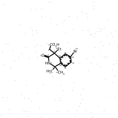 CCC1(CC(=O)O)C(=O)NC(C)(C)c2ccc(Br)cc21